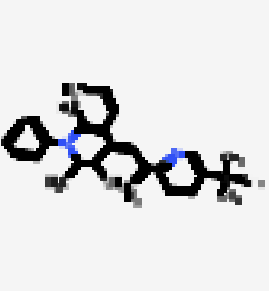 C=C(/C=C1/C(/C=C\C)=C(C)N(c2ccccc2)C(C)C1C)c1ccc([Si](C)(C)C)cn1